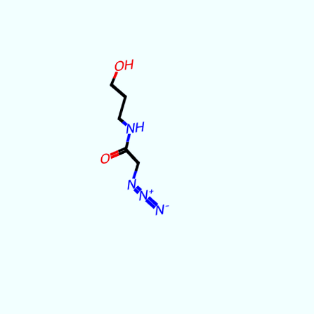 [N-]=[N+]=NCC(=O)NCCCO